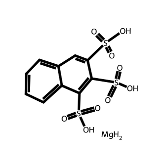 O=S(=O)(O)c1cc2ccccc2c(S(=O)(=O)O)c1S(=O)(=O)O.[MgH2]